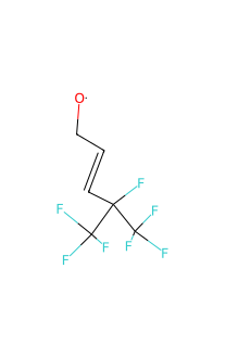 [O]C/C=C/C(F)(C(F)(F)F)C(F)(F)F